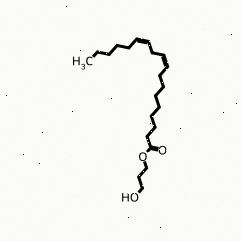 CCCCC/C=C\C/C=C\CCCCCCCC(=O)OCCCO